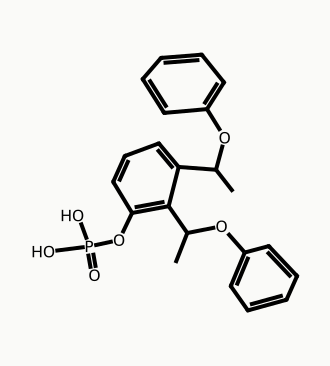 CC(Oc1ccccc1)c1cccc(OP(=O)(O)O)c1C(C)Oc1ccccc1